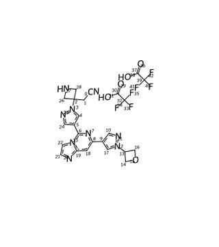 N#CCC1(n2cc(-c3nc(-c4cnn(C5COC5)c4)cc4nccn34)cn2)CNC1.O=C(O)C(F)(F)F.O=C(O)C(F)(F)F